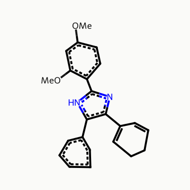 COc1ccc(-c2nc(C3=CCCC=C3)c(-c3ccccc3)[nH]2)c(OC)c1